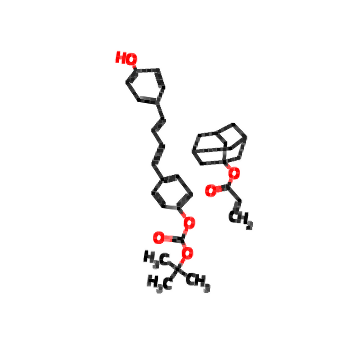 C=CC(=O)OC12CC3CC(CC(C3)C1)C2.CC(C)(C)OC(=O)Oc1ccc(C=CC=Cc2ccc(O)cc2)cc1